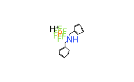 F[P-](F)(F)(F)(F)F.[H+].c1ccc(CNCc2ccccc2)cc1